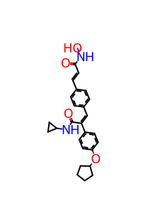 O=C(/C=C/c1ccc(/C=C(\C(=O)NC2CC2)c2ccc(OC3CCCC3)cc2)cc1)NO